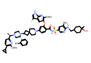 COc1nc2[nH]cc(F)c2cc1Oc1cc(N2CCC3(CC2)CC(N2CCN([C@H](C)c4ccc(C5CC5)c(OC)n4)C[C@H]2c2ccccc2C(C)C)C3)ccc1C(=O)NS(=O)(=O)c1cnc(NCC2CCC(C)(O)CC2)c([N+](=O)[O-])c1